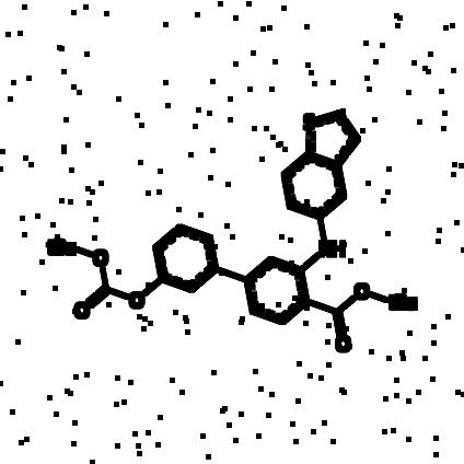 CC(C)(C)OC(=O)Oc1cccc(-c2ccc(C(=O)OC(C)(C)C)c(Nc3ccc4sccc4c3)c2)c1